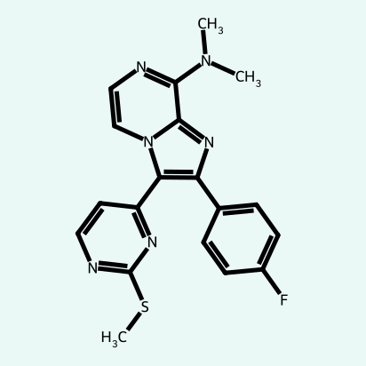 CSc1nccc(-c2c(-c3ccc(F)cc3)nc3c(N(C)C)nccn23)n1